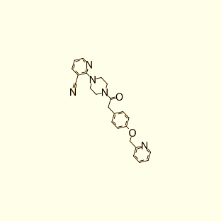 N#Cc1cccnc1N1CCN(C(=O)Cc2ccc(OCc3ccccn3)cc2)CC1